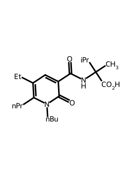 CCCCn1c(CCC)c(CC)cc(C(=O)NC(C)(C(=O)O)C(C)C)c1=O